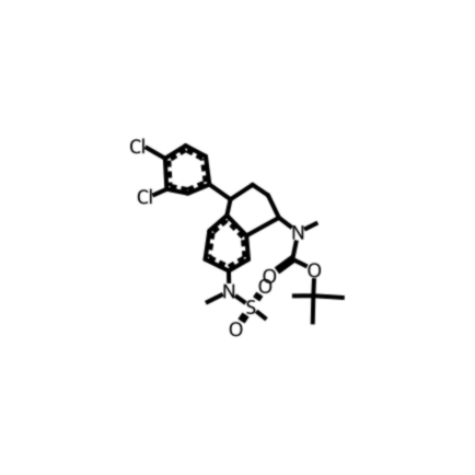 CN(C(=O)OC(C)(C)C)C1CCC(c2ccc(Cl)c(Cl)c2)c2ccc(N(C)S(C)(=O)=O)cc21